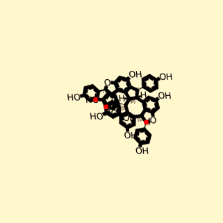 Oc1ccc([C@H]2c3c(O)cc4c(c3[C@H]3[C@@H](c5ccc(O)cc5)c5c(O)cc(O)cc5[C@H]5c6c(cc(O)cc6[C@@H]23)O[C@@H]5c2ccc(O)cc2)[C@H](c2cc(O)cc(O)c2)[C@@H](c2ccc(O)cc2)O4)cc1